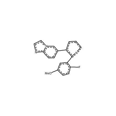 COc1ccc(F)c(-c2ncccc2-c2ccc3nccn3c2)c1